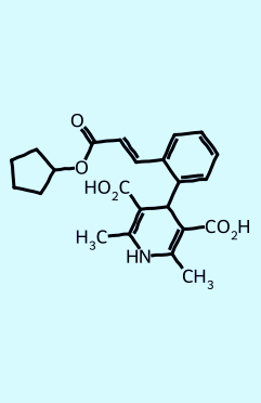 CC1=C(C(=O)O)C(c2ccccc2C=CC(=O)OC2CCCC2)C(C(=O)O)=C(C)N1